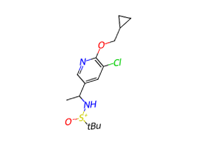 CC(N[S+]([O-])C(C)(C)C)c1cnc(OCC2CC2)c(Cl)c1